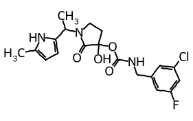 Cc1ccc(C(C)N2CCC(O)(OC(=O)NCc3cc(F)cc(Cl)c3)C2=O)[nH]1